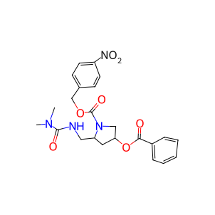 CN(C)C(=O)NCC1CC(OC(=O)c2ccccc2)CN1C(=O)OCc1ccc([N+](=O)[O-])cc1